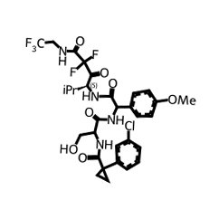 COc1ccc(C(NC(=O)C(CO)NC(=O)C2(c3cccc(Cl)c3)CC2)C(=O)N[C@H](C(=O)C(F)(F)C(=O)NCC(F)(F)F)C(C)C)cc1